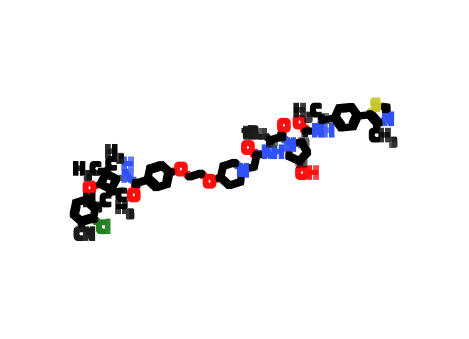 Cc1ncsc1-c1ccc([C@H](C)NC(=O)[C@@H]2C[C@@H](O)CN2C(=O)[C@@H](NC(=O)CN2CCC(OCCOc3ccc(C(=O)N[C@H]4C(C)(C)[C@H](Oc5ccc(C#N)c(Cl)c5)C4(C)C)cc3)CC2)C(C)(C)C)cc1